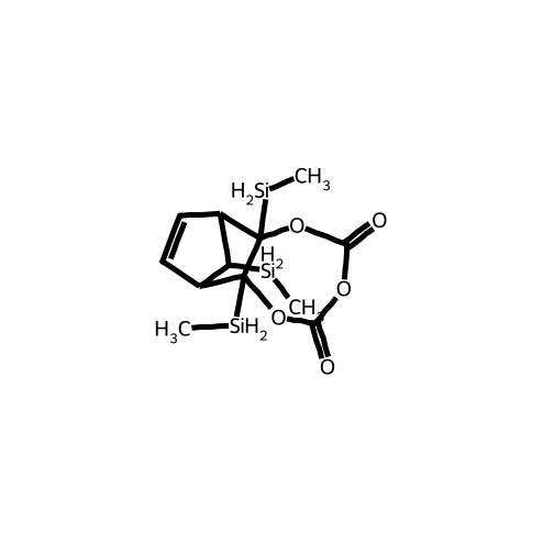 C[SiH2]C1C2C=CC1C1([SiH2]C)OC(=O)OC(=O)OC21[SiH2]C